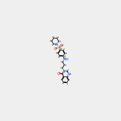 O=c1c2ccccc2ncn1CCCNc1ccc(S(=O)(=O)N2CCCCC2)cc1